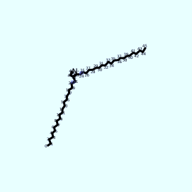 CCCCCCCCCCCCCCCCCCCC/C=C/C1=C(/C=C/CCCCCCCCCCCCCCCCCCCC)[N]C=C1